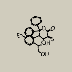 CCc1ccc(C(C)CO)c(C2C(O)C(=S)C(=O)OC2(c2ccccc2)c2ccccc2)c1